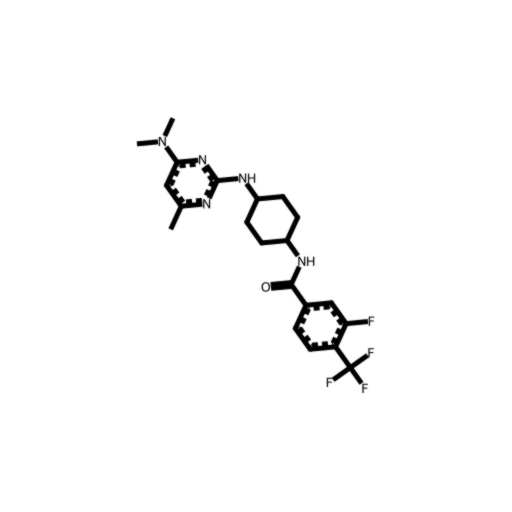 Cc1cc(N(C)C)nc(NC2CCC(NC(=O)c3ccc(C(F)(F)F)c(F)c3)CC2)n1